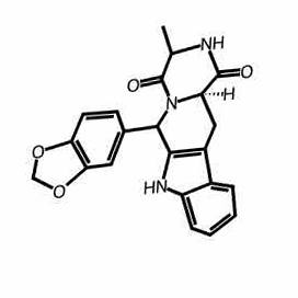 CC1NC(=O)[C@H]2Cc3c([nH]c4ccccc34)C(c3ccc4c(c3)OCO4)N2C1=O